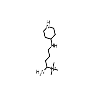 C[N+](C)(C)C(N)CCCNC1CCNCC1